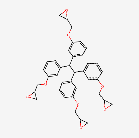 c1cc(OCC2CO2)cc(C(c2cccc(OCC3CO3)c2)C(c2cccc(OCC3CO3)c2)c2cccc(OCC3CO3)c2)c1